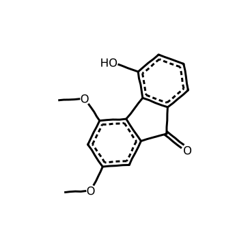 COc1cc(OC)c2c(c1)C(=O)c1cccc(O)c1-2